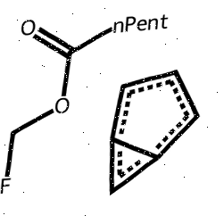 CCCCCC(=O)OCF.c1cc2cc-2c1